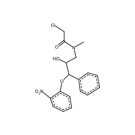 CN(CC(O)C(Oc1ccccc1[N+](=O)[O-])c1ccccc1)C(=O)CCl